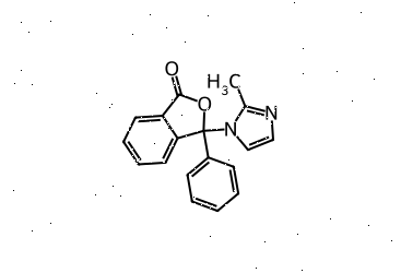 Cc1nccn1C1(c2ccccc2)OC(=O)c2ccccc21